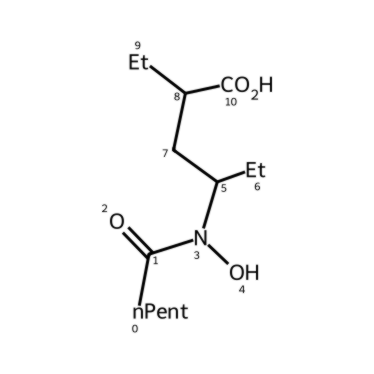 CCCCCC(=O)N(O)C(CC)CC(CC)C(=O)O